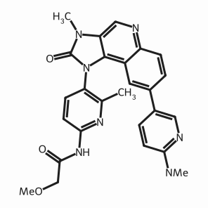 CNc1ccc(-c2ccc3ncc4c(c3c2)n(-c2ccc(NC(=O)COC)nc2C)c(=O)n4C)cn1